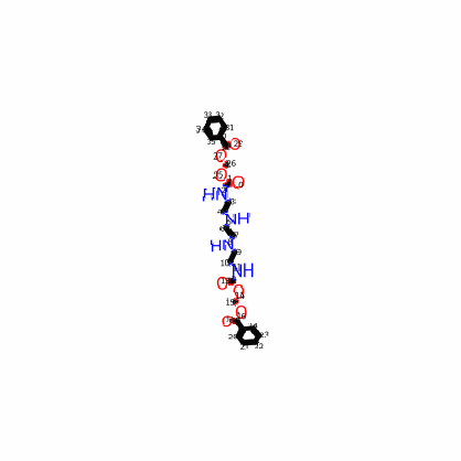 O=C(NCCNCCNCCNC(=O)OCOC(=O)c1ccccc1)OCOC(=O)c1ccccc1